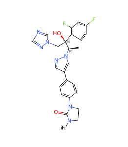 CC(C)N1CCN(c2ccc(-c3cnn([C@H](C)[C@](O)(Cn4cncn4)c4ccc(F)cc4F)c3)cc2)C1=O